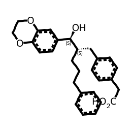 O=C(O)Cc1ccc(C[C@H](CCCc2ccccc2)[C@H](O)c2ccc3c(c2)OCCO3)cc1